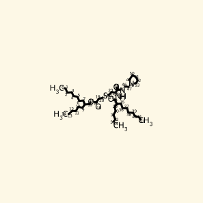 CCCCCCCCC(CCCCCC)COC(=O)CCSCCC(NC(=O)C(CCCCCC)CCCCCCCC)C(=O)NCCN1CCCCC1